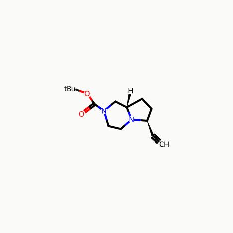 C#C[C@@H]1CC[C@H]2CN(C(=O)OC(C)(C)C)CCN21